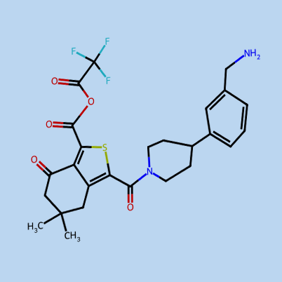 CC1(C)CC(=O)c2c(C(=O)OC(=O)C(F)(F)F)sc(C(=O)N3CCC(c4cccc(CN)c4)CC3)c2C1